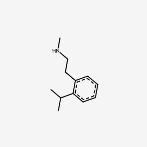 CNCCc1ccccc1C(C)C